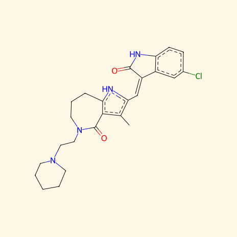 Cc1c(/C=C2\C(=O)Nc3ccc(Cl)cc32)[nH]c2c1C(=O)N(CCN1CCCCC1)CCC2